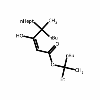 CCCCCCCC(C)(CCCC)/C(O)=C\C(=O)OC(C)(CC)CCCC